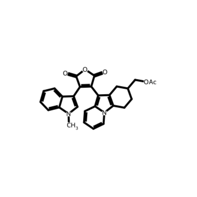 CC(=O)OCC1CCc2c(c(C3=C(c4cn(C)c5ccccc45)C(=O)OC3=O)c3ccccn23)C1